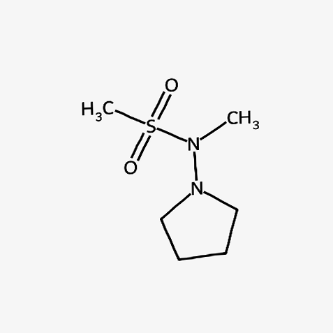 CN(N1CCCC1)S(C)(=O)=O